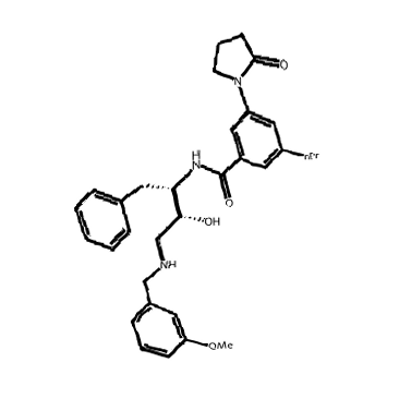 CCCc1cc(C(=O)N[C@@H](Cc2ccccc2)[C@H](O)CNCc2cccc(OC)c2)cc(N2CCCC2=O)c1